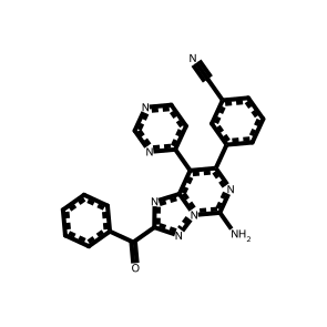 N#Cc1cccc(-c2nc(N)n3nc(C(=O)c4ccccc4)nc3c2-c2ccncn2)c1